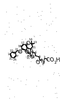 CN(CC(=O)O)C(=O)CCCN(C1CC(C)(C)Oc2ccc(OCc3ccccc3)cc21)S(C)(=O)=O